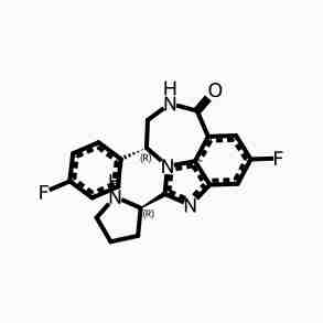 O=C1NC[C@@H](c2ccc(F)cc2)n2c([C@H]3CCCN3)nc3cc(F)cc1c32